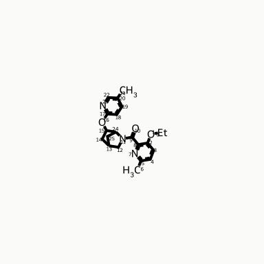 CCOc1ccc(C)nc1C(=O)N1CC2CC(Oc3ccc(C)cn3)C1C2